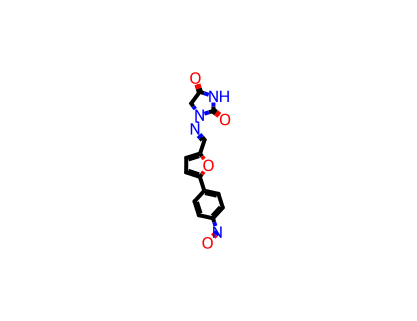 O=Nc1ccc(-c2ccc(/C=N/N3CC(=O)NC3=O)o2)cc1